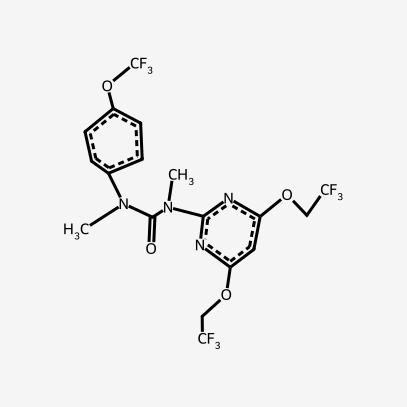 CN(C(=O)N(C)c1nc(OCC(F)(F)F)cc(OCC(F)(F)F)n1)c1ccc(OC(F)(F)F)cc1